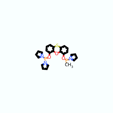 CP(Oc1cccc2c1Oc1c(OP(n3cccc3)n3cccc3)cccc1S2)n1cccc1